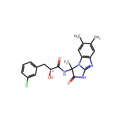 Cc1cc2nc3n(c2cc1C)C(NC(=O)[C@@H](O)Cc1cccc(Cl)c1)(C(F)(F)F)C(=O)N3